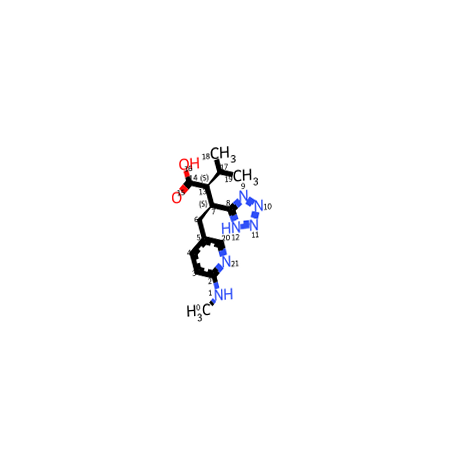 CNc1ccc(C[C@H](c2nnn[nH]2)[C@@H](C(=O)O)C(C)C)cn1